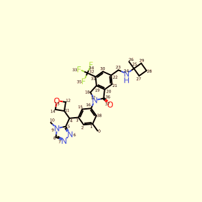 Cc1cc(C(c2nncn2C)C2COC2)cc(N2Cc3c(cc(CNC4(C)CCC4)cc3C(F)(F)F)C2=O)c1